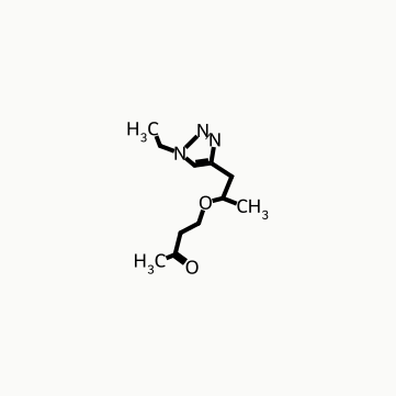 CCn1cc(CC(C)OCCC(C)=O)nn1